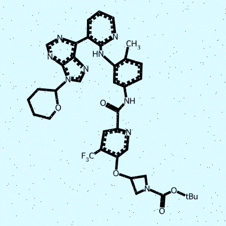 Cc1ccc(NC(=O)c2cc(C(F)(F)F)c(OC3CN(C(=O)OC(C)(C)C)C3)cn2)cc1Nc1ncccc1-c1ncnc2c1ncn2C1CCCCO1